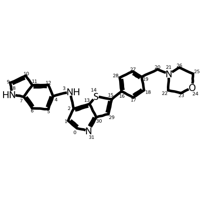 c1cc(Nc2ccc3[nH]ccc3c2)c2sc(-c3ccc(CN4CCOCC4)cc3)cc2n1